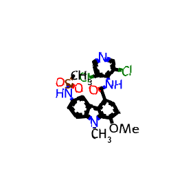 COc1ccc(C(=O)Nc2c(Cl)cncc2Cl)c2c3cc(NS(C)(=O)=O)ccc3n(C)c12